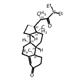 CCN(CC)C(=O)[C@@H](C)[C@H]1CC[C@H]2[C@@H]3CCC4=CC(=O)CC[C@]4(C)[C@H]3CC[C@]12C